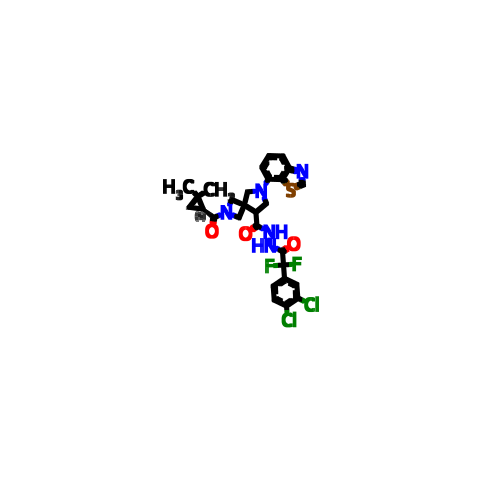 CC1(C)C[C@@H]1C(=O)N1CC2(C1)CN(c1cccc3ncsc13)CC2C(=O)NNC(=O)C(F)(F)c1ccc(Cl)c(Cl)c1